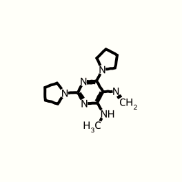 C=Nc1c(NC)nc(N2CCCC2)nc1N1CCCC1